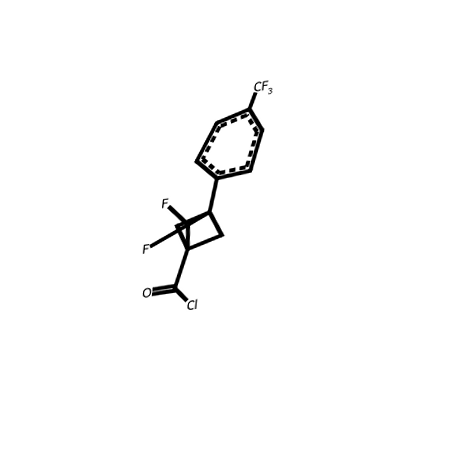 O=C(Cl)C12CC(c3ccc(C(F)(F)F)cc3)(C1)C2(F)F